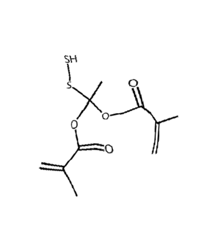 C=C(C)C(=O)OC(C)(OC(=O)C(=C)C)SS